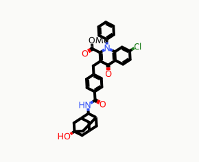 COC(=O)c1c(Cc2ccc(C(=O)NC3C4CC5CC3CC(O)(C5)C4)cc2)c(=O)c2ccc(Cl)cc2n1-c1ccccc1